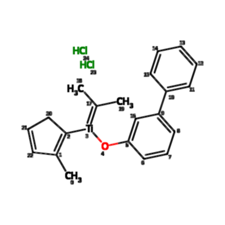 CC1=[C]([Ti]([O]c2cccc(-c3ccccc3)c2)=[C](C)C)CC=C1.Cl.Cl